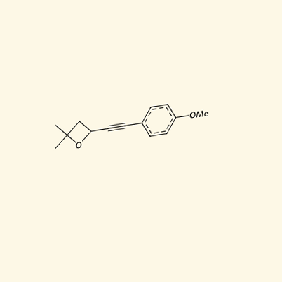 COc1ccc(C#CC2CC(C)(C)O2)cc1